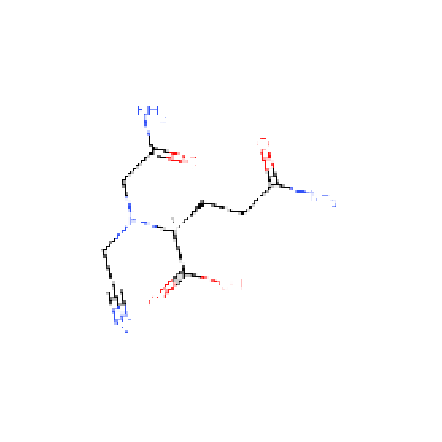 N#CCN(CC(N)=O)[C@@H](CCC(N)=O)C(=O)O